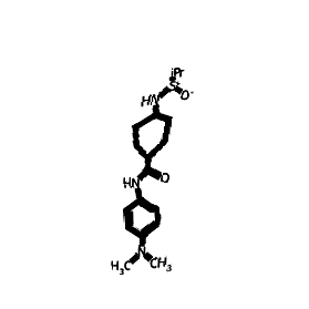 CC(C)[S+]([O-])NC1CCC(C(=O)Nc2ccc(N(C)C)cc2)CC1